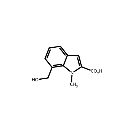 Cn1c(C(=O)O)cc2cccc(CO)c21